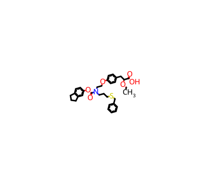 CCOC(Cc1ccc(OCCN(CCCSCc2ccccc2)C(=O)Oc2ccc3c(c2)CCC3)cc1)C(=O)O